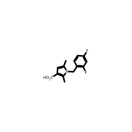 Cc1cc(C(=O)O)c(C)n1Cc1ccc(F)cc1F